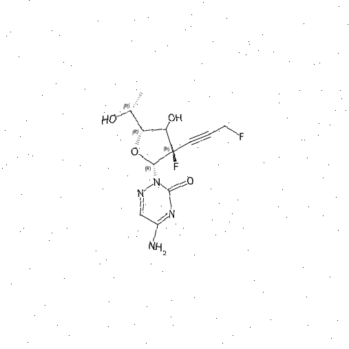 C[C@@H](O)[C@H]1O[C@@H](n2ncc(N)nc2=O)[C@@](F)(C#CCF)C1O